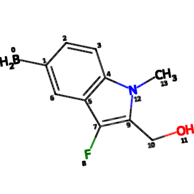 Bc1ccc2c(c1)c(F)c(CO)n2C